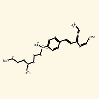 CC=C=C(/C=C\NC)/C=C/c1ccc(N(C)CCCN(C)CCSSC)cc1